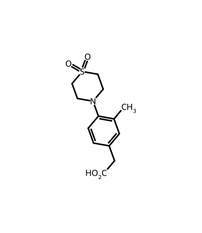 Cc1cc(CC(=O)O)ccc1N1CCS(=O)(=O)CC1